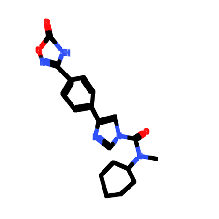 CN(C(=O)n1cnc(-c2ccc(-c3noc(=O)[nH]3)cc2)c1)C1CCCCC1